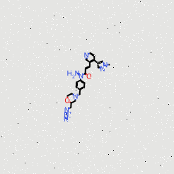 Cn1cc(-c2ccncc2/C=C/C(=O)N(N)c2ccc(CN3CCOC(CN=[N+]=[N-])C3)cc2)cn1